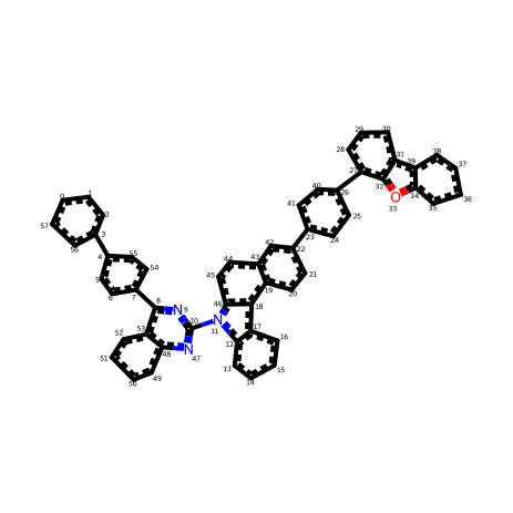 c1ccc(-c2ccc(-c3nc(-n4c5ccccc5c5c6ccc(-c7ccc(-c8cccc9c8oc8ccccc89)cc7)cc6ccc54)nc4ccccc34)cc2)cc1